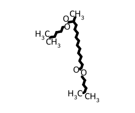 CCC(CCCCCCCCCCCC(=O)OCCCCC(C)C)C(=O)OCCCCC(C)C